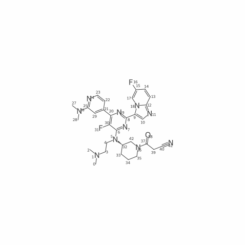 CN(C)CCN(c1nc(-c2cnc3ccc(F)cn23)nc(-c2ccnc(N(C)C)c2)c1F)[C@@H]1CCCN(C(=O)CC#N)C1